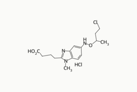 CC(CCCl)ONc1ccc2c(c1)nc(CCCC(=O)O)n2C.Cl